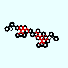 c1ccc(-c2ccccc2-c2ccccc2N(c2ccc(-c3cccc4c3oc3ccccc34)cc2)c2ccccc2-c2ccccc2-c2ccc(-c3ccc4c(ccc5cc(-c6cccc(N(c7ccc(-c8cccc9c8oc8ccccc89)cc7)c7ccccc7-c7ccccc7-c7ccccc7-n7c8ccccc8c8ccccc87)c6)ccc54)c3)cc2-n2c3ccccc3c3ccccc32)cc1